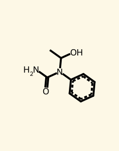 CC(O)N(C(N)=O)c1ccccc1